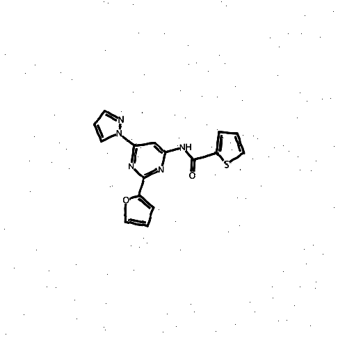 O=C(Nc1cc(-n2cccn2)nc(-c2ccco2)n1)c1cccs1